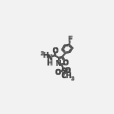 [2H]NC(=O)c1nc(S(C)(=O)=O)oc1-c1ccc(F)cc1